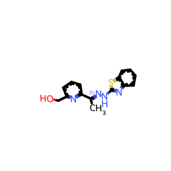 C/C(=N\Nc1nc2ccccc2s1)c1cccc(CO)n1